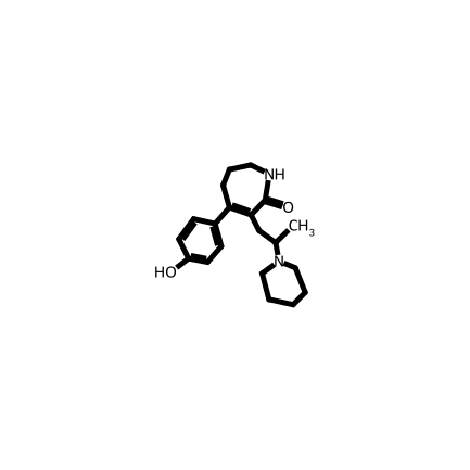 CC(CC1=C(c2ccc(O)cc2)CCCNC1=O)N1CCCCC1